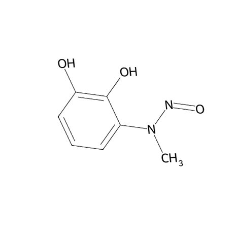 CN(N=O)c1cccc(O)c1O